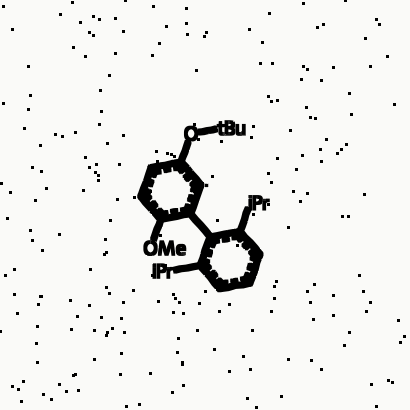 COc1ccc(OC(C)(C)C)[c]c1-c1c(C(C)C)cccc1C(C)C